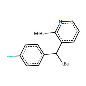 COc1ncccc1C(c1ccc(F)cc1)C(C)(C)C